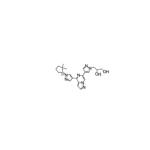 CC1(C)CCC[C@@H]1n1cc(-c2nc(-c3cnn(CC(O)CO)c3)cn3nccc23)cn1